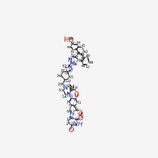 O=C1CC[C@H](N2Cc3cc4c(cc3C2=O)OC[C@@H]2CN(CC3CCC5(CC3)CN(c3ncc([C@H]6c7ccc(O)cc7CC[C@H]6c6ccccc6)cn3)C5)CCN42)C(=O)N1